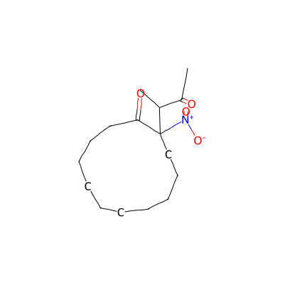 CC(=O)C(C)C1([N+](=O)[O-])CCCCCCCCCCC1=O